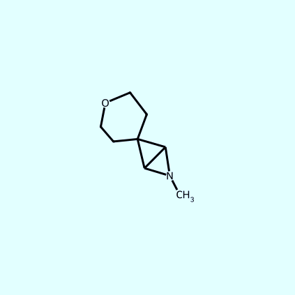 CN1C2C1C21CCOCC1